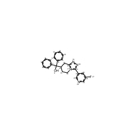 OC(c1ccccc1)(c1ccccc1)C1CCn2c(nnc2-c2cncc(F)c2)C1